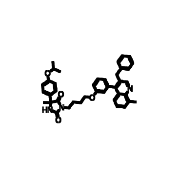 Cc1cccc2c(-c3cccc(OCCCCN4C(=O)NC(C)(c5ccc(OC(C)C)cc5)C4=O)c3)c(Cc3ccccc3)cnc12